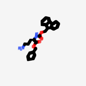 NCCC[C@@H](NC(=O)OCC1c2ccccc2-c2ccccc21)C(=O)OCc1ccccc1